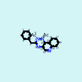 CC(=O)N1C(Cc2ccccc2)=Nc2cnc3ccccc3c2N1C(C)=O